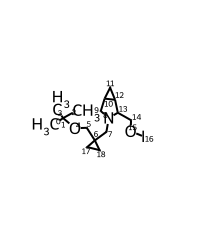 CC(C)(C)OCC1(CN2CC3CC3C2COI)CC1